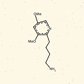 COc1cnc(CCCCN)c(OC)c1